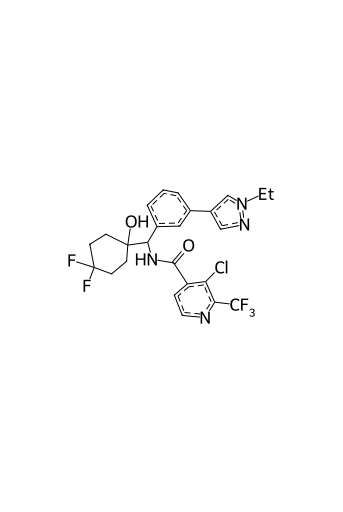 CCn1cc(-c2cccc(C(NC(=O)c3ccnc(C(F)(F)F)c3Cl)C3(O)CCC(F)(F)CC3)c2)cn1